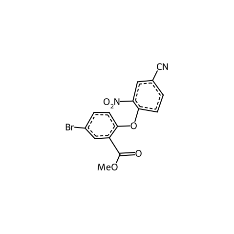 COC(=O)c1cc(Br)ccc1Oc1ccc(C#N)cc1[N+](=O)[O-]